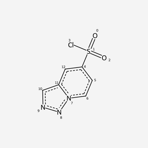 O=S(=O)(Cl)c1ccn2nncc2c1